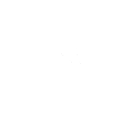 O=C(OCc1ccccc1)N1CCN(c2ccccn2)C([N+](=O)[O-])C1